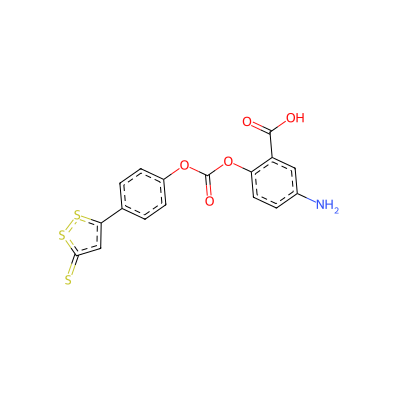 Nc1ccc(OC(=O)Oc2ccc(-c3cc(=S)ss3)cc2)c(C(=O)O)c1